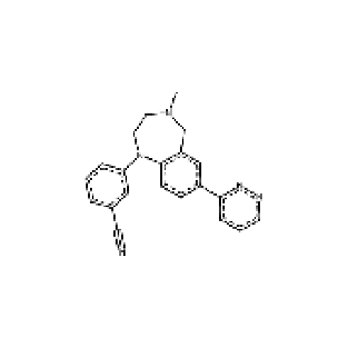 CN1CCN(c2cccc(C#N)c2)c2ccc(-c3cccnn3)cc2C1